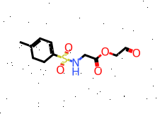 CC1=CC=C(S(=O)(=O)NCC(=O)OCC=O)CC1